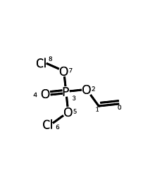 C=COP(=O)(OCl)OCl